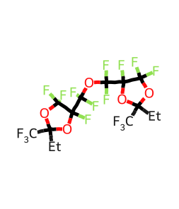 CCC1(C(F)(F)F)OC(F)(F)C(F)(C(F)(F)OC(F)(F)C2(F)OC(CC)(C(F)(F)F)OC2(F)F)O1